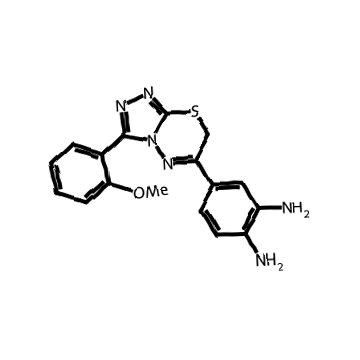 COc1ccccc1-c1nnc2n1N=C(c1ccc(N)c(N)c1)CS2